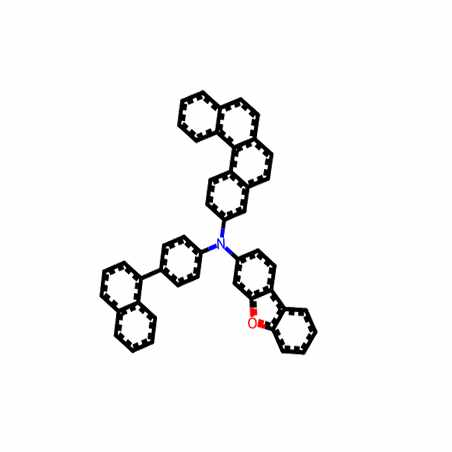 c1ccc2c(-c3ccc(N(c4ccc5c(ccc6ccc7ccccc7c65)c4)c4ccc5c(c4)oc4ccccc45)cc3)cccc2c1